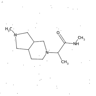 CNC(=O)C(C)N1CCC2CN(C)CC2C1